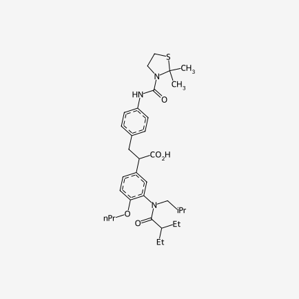 CCCOc1ccc(C(Cc2ccc(NC(=O)N3CCSC3(C)C)cc2)C(=O)O)cc1N(CC(C)C)C(=O)C(CC)CC